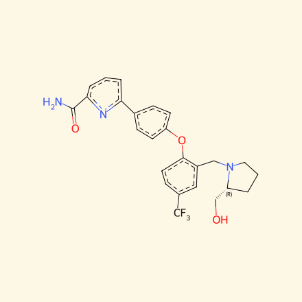 NC(=O)c1cccc(-c2ccc(Oc3ccc(C(F)(F)F)cc3CN3CCC[C@@H]3CO)cc2)n1